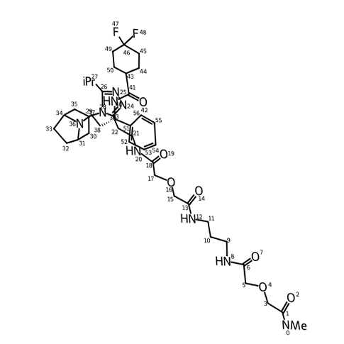 CNC(=O)COCC(=O)NCCCNC(=O)COCC(=O)NCCc1nnc(C(C)C)n1C1CC2CCC(C1)N2CC[C@H](NC(=O)C1CCC(F)(F)CC1)c1ccccc1